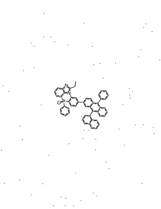 CCc1nc2cccc3c2n1-c1cc(-c2ccc4c(-c5ccccc5)c5ccccc5c(-c5cccc6ccccc56)c4c2)ccc1P3(=O)c1ccccc1